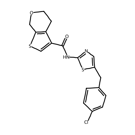 O=C(Nc1ncc(Cc2ccc(Cl)cc2)s1)c1csc2c1CCOC2